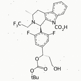 C[C@@H]1Cc2c(n(C(=O)O)c3ccccc23)[C@@H](c2c(F)cc([C@H](CCO)OC(=O)OC(C)(C)C)cc2F)N1CC(F)(F)F